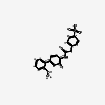 CCS(=O)(=O)c1ccc(CC(=O)Nc2ccc(-c3ccccc3OC(F)(F)F)cc2F)cc1